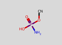 N#COP(N)(=O)O